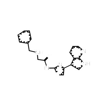 O=C(CNCc1ccccc1)Nc1nc(-c2c[nH]c3ncccc23)cs1